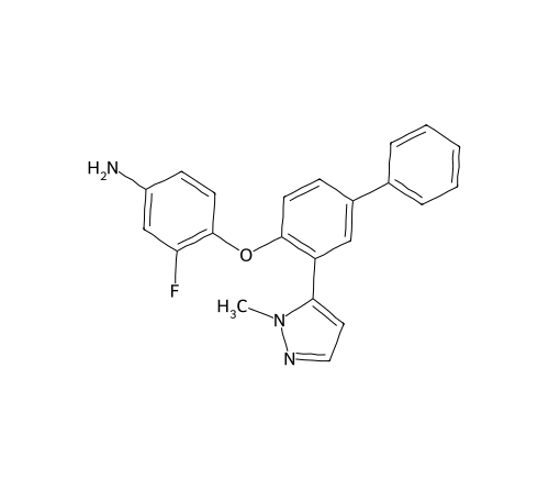 Cn1nccc1-c1cc(-c2ccccc2)ccc1Oc1ccc(N)cc1F